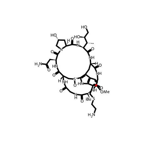 CC[C@H](C)[C@@H]1NC(=O)CNC(=O)[C@@H]2Cc3c([nH]c4c(CSCCN)c(OC)ccc34)[S+]([O-])C[C@H](NC(=O)CNC1=O)C(=O)N[C@@H](CC(N)=O)C(=O)N1C[C@H](O)C[C@H]1C(=O)N[C@@H]([C@@H](C)[C@@H](O)CO)C(=O)N2